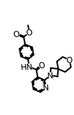 COC(=O)c1ccc(NC(=O)c2cccnc2N2CC3(CCOCC3)C2)cc1